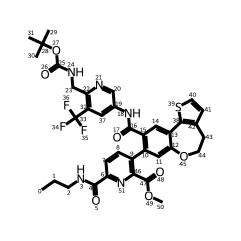 CCCNC(=O)c1ccc(-c2cc3c(cc2C(=O)Nc2cnc(CNC(=O)OC(C)(C)C)c(C(F)(F)F)c2)-c2sccc2CCO3)c(C(=O)OC)n1